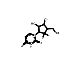 O=c1ccn(C2C(O)C(O)C(CO)C2(F)F)c(=O)[nH]1